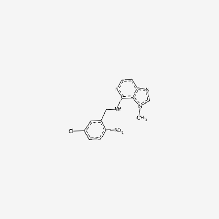 Cn1cnc2ccnc(NCc3cc(Cl)ccc3[N+](=O)[O-])c21